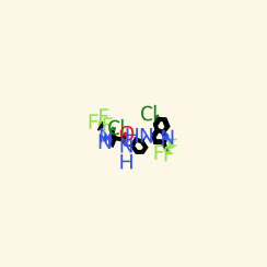 O=C(N[C@@H]1CCC[C@H](Nc2cc(C(F)(F)F)nc3ccc(Cl)cc23)C1)c1cnn(CC(F)(F)F)c1Cl